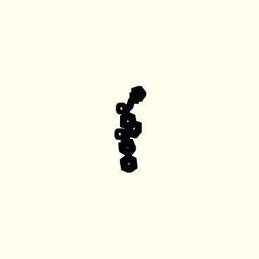 O=C(CCN1CCCC1)c1ccc2c(c1)CCCN2C(=O)N1CCC(c2ccccc2)CC1